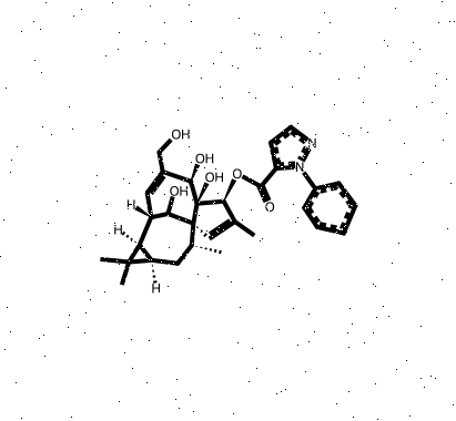 CC1=C[C@]23C(O)[C@@H](C=C(CO)[C@@H](O)[C@]2(O)[C@H]1OC(=O)c1ccnn1-c1ccccc1)[C@H]1[C@@H](C[C@H]3C)C1(C)C